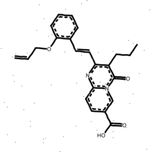 C=CCOc1ccccc1/C=C/c1nc2ccc(C(=O)O)cn2c(=O)c1CCC